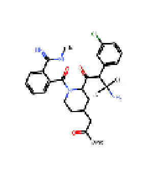 CCCCNC(=N)c1ccccc1C(=O)N1CCC(CC(=O)OC)CC1C(=O)C(c1cccc(Cl)c1)C(C)(C)N